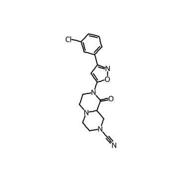 N#CN1CCN2CCN(c3cc(-c4cccc(Cl)c4)no3)C(=O)C2C1